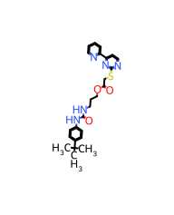 CC(C)(C)c1ccc(NC(=O)NCCCOC(=O)CSc2nccc(-c3ccccn3)n2)cc1